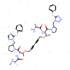 CN[C@@H](C)C(=O)N[C@H](C(=O)N1CCC[C@H]1Cn1ncnc1Sc1ccccc1)C(C)OCC#CC#CCO[C@H](C)[C@H](NC(=O)[C@H](C)NC)C(=O)N1CCCC1Cn1nnnc1Sc1ccccc1